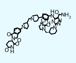 CN1CCN(C[C@@H]2CCCN(c3nnc(C(N)=O)c(Nc4ccc(C5CCN(CC6CCN(c7ccc8c(c7)C(=O)N(C7CCC(=O)NC7=O)C8=O)C6)CC5)cc4)n3)C2)C1=O